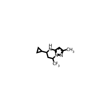 Cc1cc2n(n1)C(C(F)(F)F)CC(C1CC1)N2